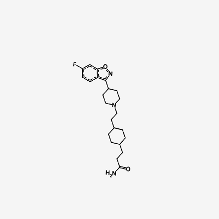 NC(=O)CCC1CCC(CCN2CCC(c3noc4cc(F)ccc34)CC2)CC1